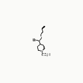 C=CCCCC(Br)C1CCN(C(=O)O)CC1